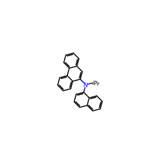 CC(C)N(c1cccc2ccccc12)c1cc2ccccc2c2ccccc12